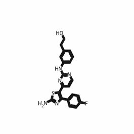 Nc1nc(-c2ccc(F)cc2)c(-c2ccnc(Nc3cccc(CCO)c3)n2)s1